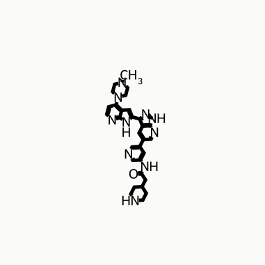 CN1CCN(c2ccnc3[nH]c(-c4n[nH]c5ncc(-c6cncc(NC(=O)CC7CCNCC7)c6)cc45)cc23)CC1